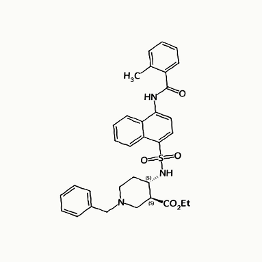 CCOC(=O)[C@H]1CN(Cc2ccccc2)CC[C@@H]1NS(=O)(=O)c1ccc(NC(=O)c2ccccc2C)c2ccccc12